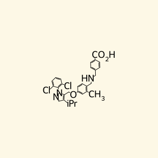 Cc1cc(OCc2c(C(C)C)cnn2-c2c(Cl)cccc2Cl)ccc1CNCc1ccc(C(=O)O)cc1